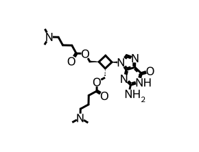 CN(C)CCCC(=O)OC[C@H]1C[C@@H](n2cnc3c(=O)[nH]c(N)nc32)[C@@H]1COC(=O)CCCN(C)C